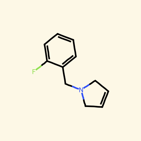 Fc1ccccc1CN1CC=CC1